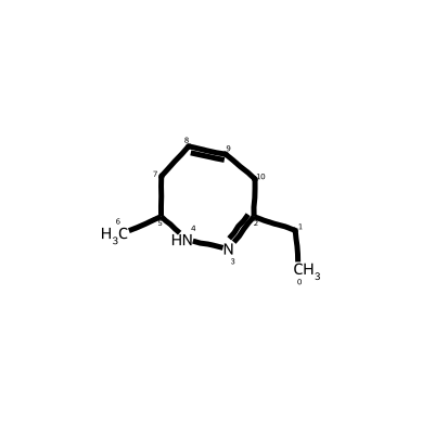 CC/C1=N/NC(C)C/C=C\C1